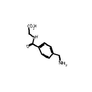 NCc1ccc(C(=O)NCC(=O)O)cc1